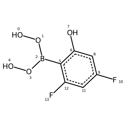 OOB(OO)c1c(O)cc(F)cc1F